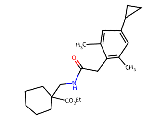 CCOC(=O)C1(CNC(=O)Cc2c(C)cc(C3CC3)cc2C)CCCCC1